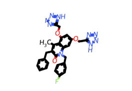 Cc1c(Cc2ccccc2)c(=O)n(Cc2ccc(F)cc2)c2cc(OCc3nnn[nH]3)cc(OCc3nnn[nH]3)c12